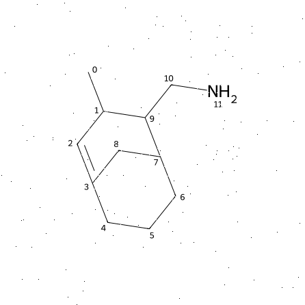 CC1C=C2CCCC(C2)C1CN